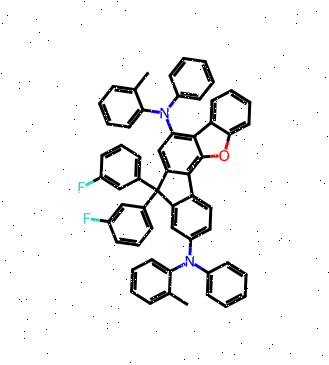 Cc1ccccc1N(c1ccccc1)c1ccc2c(c1)C(c1cccc(F)c1)(c1cccc(F)c1)c1cc(N(c3ccccc3)c3ccccc3C)c3c(oc4ccccc43)c1-2